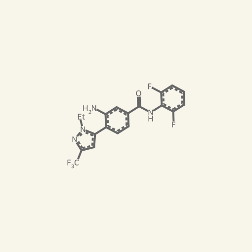 CCn1nc(C(F)(F)F)cc1-c1ccc(C(=O)Nc2c(F)cccc2F)cc1N